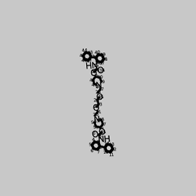 O=C(Nc1ccccc1-c1ccccc1)OC1CCN(CCOCCOCCN2CCC(OC(=O)Nc3ccccc3-c3ccccc3)CC2)CC1